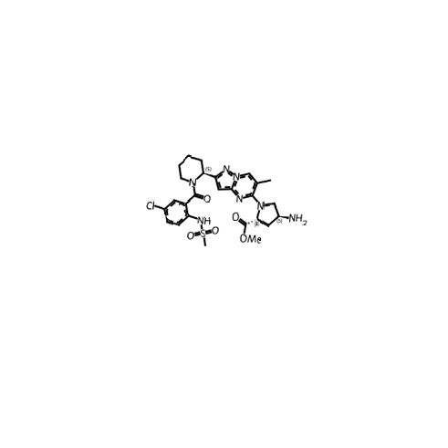 COC(=O)[C@H]1C[C@H](N)CN1c1nc2cc([C@@H]3CCCCN3C(=O)c3cc(Cl)ccc3NS(C)(=O)=O)nn2cc1C